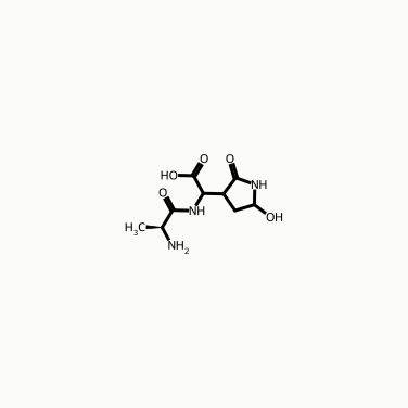 C[C@H](N)C(=O)NC(C(=O)O)C1CC(O)NC1=O